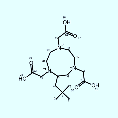 CC(C)(C)CC1CN(CC(=O)O)CCN(CC(=O)O)CCN1CC(=O)O